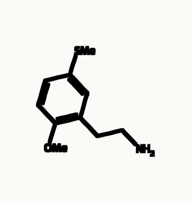 COc1ccc(SC)cc1CCN